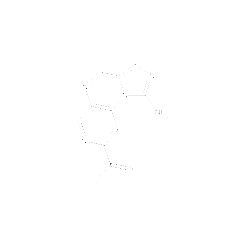 Nc1ncc2cnc3cnc(C(=O)O)cc3n12